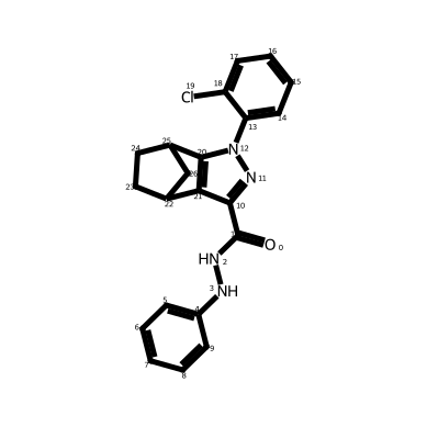 O=C(NNc1ccccc1)c1nn(-c2ccccc2Cl)c2c1C1CCC2C1